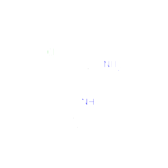 NCC1(C2C=CC=C(Cl)C2)CCC(NCC2CC2)CC1